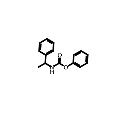 CC(NC(=O)Oc1ccccc1)c1ccccc1